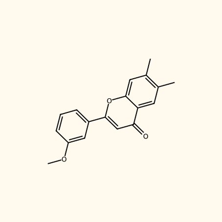 COc1cccc(-c2cc(=O)c3cc(C)c(C)cc3o2)c1